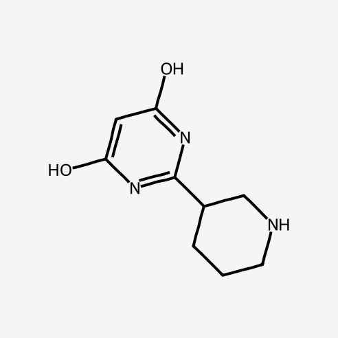 Oc1cc(O)nc(C2CCCNC2)n1